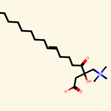 CCCCCCCCC=CCCCC(=O)C(O)(CC(=O)[O-])C[N+](C)(C)C